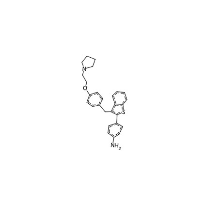 Nc1ccc(-c2sc3ccccc3c2Cc2ccc(OCCN3CCCC3)cc2)cc1